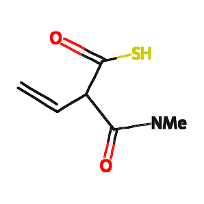 C=CC(C(=O)S)C(=O)NC